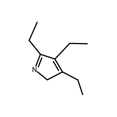 CCC1=NCC(CC)=C1CC